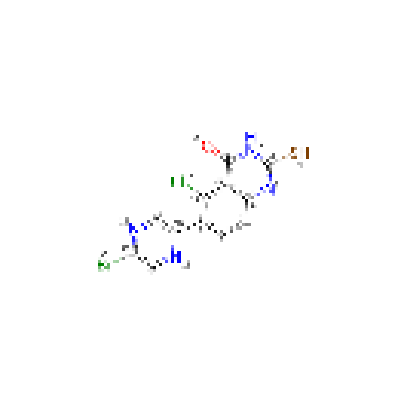 O=c1[nH]c(S)nc2ccc(-c3cnc(Br)cn3)c(Cl)c12